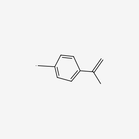 [CH2]c1ccc(C(=C)C)cc1